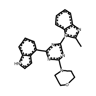 Cc1nc2ccccc2n1-c1nc(-c2cccc3[nH]ccc23)nc(N2CCOCC2)n1